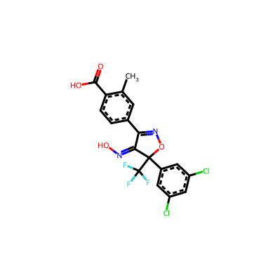 Cc1cc(C2=NOC(c3cc(Cl)cc(Cl)c3)(C(F)(F)F)/C2=N/O)ccc1C(=O)O